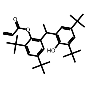 C=CC(=O)Oc1c(C(C)c2cc(C(C)(C)C)cc(C(C)(C)C)c2O)cc(C(C)(C)C)cc1C(C)(C)C